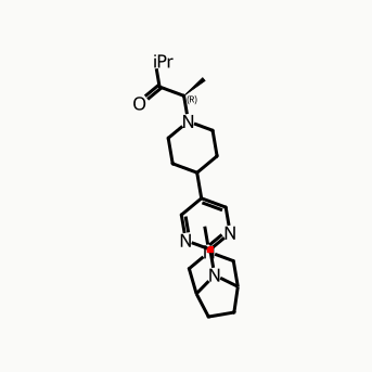 CC(C)C(=O)[C@@H](C)N1CCC(c2cnc(N3C4CCC3CN(C)C4)nc2)CC1